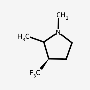 CC1[C@H](C(F)(F)F)CCN1C